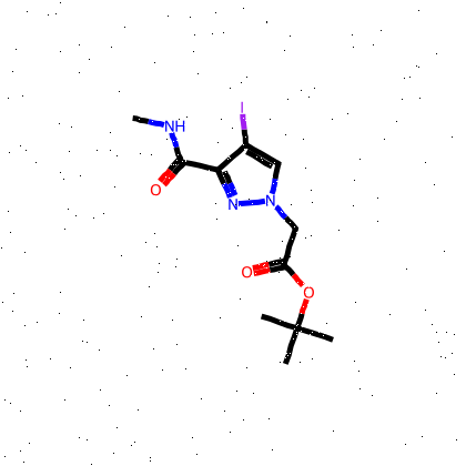 CNC(=O)c1nn(CC(=O)OC(C)(C)C)cc1I